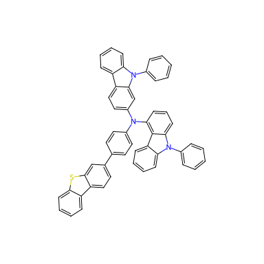 c1ccc(-n2c3ccccc3c3ccc(N(c4ccc(-c5ccc6c(c5)sc5ccccc56)cc4)c4cccc5c4c4ccccc4n5-c4ccccc4)cc32)cc1